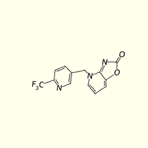 O=c1nc2n(Cc3ccc(C(F)(F)F)nc3)cccc-2o1